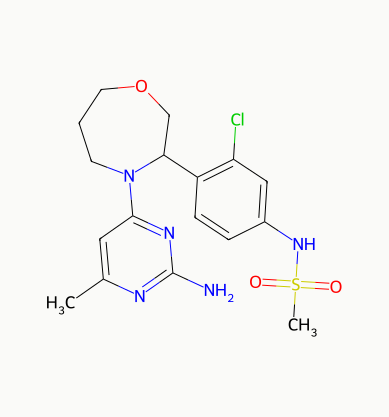 Cc1cc(N2CCCOCC2c2ccc(NS(C)(=O)=O)cc2Cl)nc(N)n1